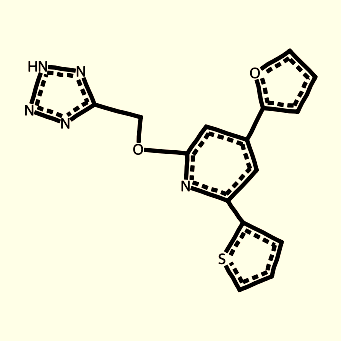 c1coc(-c2cc(OCc3nn[nH]n3)nc(-c3cccs3)c2)c1